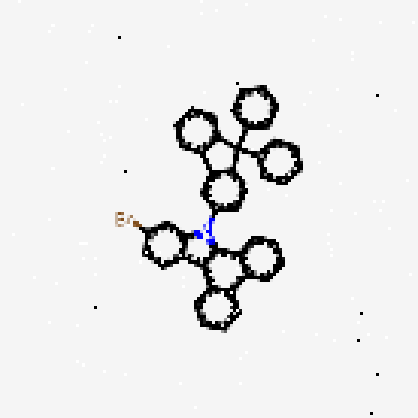 Brc1ccc2c3c4ccccc4c4ccccc4c3n(-c3ccc4c(c3)-c3ccccc3C4(c3ccccc3)c3ccccc3)c2c1